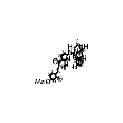 COc1ccc(CCn2cnc3nc(NC(=N[C@H]4C[C@H]5C[C@@H]([C@@H]4C)C5(C)C)N4C[C@@H](C)N[C@@H](C)C4)ccc3c2=O)c(F)c1